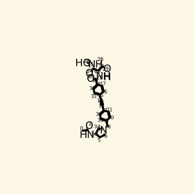 CC(=O)N[C@H]1CCN(Cc2ccc(C#Cc3ccc(C(=O)N[C@H](C(=O)NO)[C@@H](C)O)cc3)cc2)C1